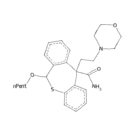 CCCCCOC1Sc2ccccc2C(CCN2CCOCC2)(C(N)=O)c2ccccc21